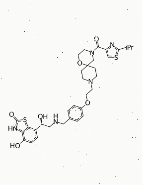 CC(C)c1nc(C(=O)N2CCOC3(CCN(CCOc4ccc(CNC[C@H](O)c5ccc(O)c6[nH]c(=O)sc56)cc4)CC3)C2)cs1